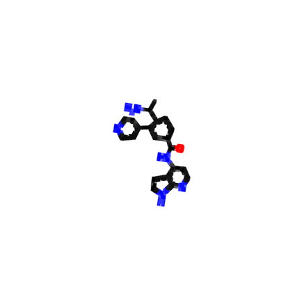 CC(N)c1ccc(C(=O)Nc2ccnc3[nH]ccc23)cc1-c1ccncc1